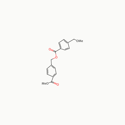 COCc1ccc(C(=O)OCc2ccc(C(=O)OC)cc2)cc1